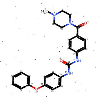 CN1CCN(C(=O)c2ccc(NC(=O)Nc3ccc(Oc4ccccc4)cc3)cc2)CC1